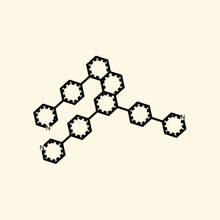 c1cncc(-c2ccc(-c3cc(-c4ccc(-c5cccnc5)cc4)c4ccc5cccc(-c6ccc(-c7cccnc7)cc6)c5c4c3)cc2)c1